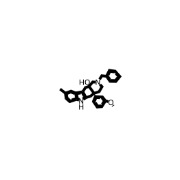 COc1cccc([C@@]23CCN(Cc4ccccc4)C[C@@]2(O)Cc2c([nH]c4ccc(C)cc24)C3)c1